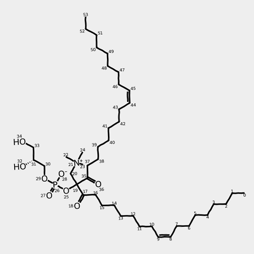 CCCCCCCC/C=C\CCCCCCCC(=O)C(C[N+](C)(C)C)(OP(=O)([O-])OC[C@H](O)CO)C(=O)CCCCCCC/C=C\CCCCCCCC